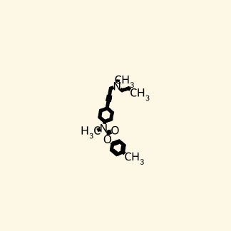 CCCN(C)CC#CC1CCC(N(C)C(=O)Oc2ccc(C)cc2)CC1